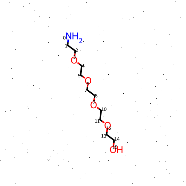 NCCOCCOCCOCCOCCO